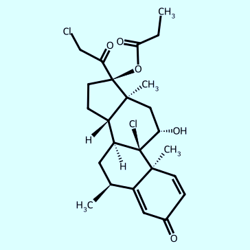 CCC(=O)O[C@]1(C(=O)CCl)CC[C@H]2[C@@H]3C[C@H](C)C4=CC(=O)C=C[C@]4(C)[C@@]3(Cl)[C@@H](O)C[C@@]21C